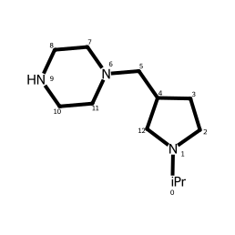 CC(C)N1CCC(CN2CCNCC2)C1